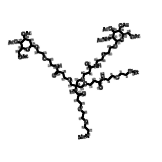 CCOCCOCCNC(=O)CCOCC(COCCC(=O)NCCOCCOC1CC(OC(C)=O)C(OC(C)=O)C(COC(C)=O)O1)(COCCC(=O)NCCOCCOC1O[C@H](COC(C)=O)C(OC(C)=O)C(OC(C)=O)[C@@H]1NC(C)=O)NC(=O)CCOCCOCCNC